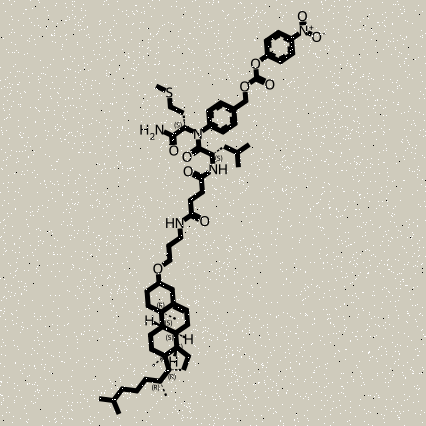 CSCC[C@@H](C(N)=O)N(C(=O)[C@H](CC(C)C)NC(=O)CCC(=O)NCCCOC1CC[C@@]2(C)C(=CC[C@H]3[C@@H]4CC[C@H]([C@H](C)CCCC(C)C)[C@@]4(C)CC[C@@H]32)C1)c1ccc(COC(=O)Oc2ccc([N+](=O)[O-])cc2)cc1